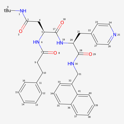 CC(C)(C)NC(=O)C[C@H](NC(=O)CCc1ccccc1)C(=O)N[C@@H](Cc1ccncc1)C(=O)NCc1cccc2ccccc12